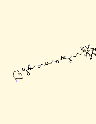 O=C(CCCC[C@@H]1SC[C@@H]2NC(=O)N[C@@H]21)NCCOCCOCCOCCNC(=O)O[C@@H]1CC/C=C/CCC1